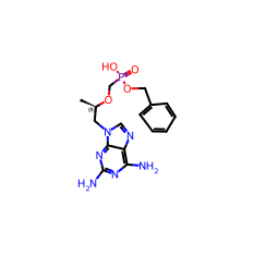 C[C@H](Cn1cnc2c(N)nc(N)nc21)OCP(=O)(O)OCc1ccccc1